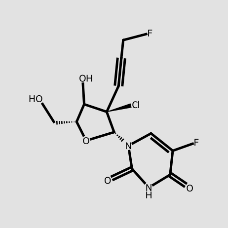 O=c1[nH]c(=O)n([C@@H]2O[C@H](CO)C(O)[C@]2(Cl)C#CCF)cc1F